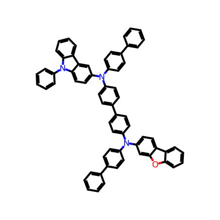 c1ccc(-c2ccc(N(c3ccc(-c4ccc(N(c5ccc(-c6ccccc6)cc5)c5ccc6c(c5)c5ccccc5n6-c5ccccc5)cc4)cc3)c3ccc4c(c3)oc3ccccc34)cc2)cc1